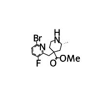 COC(=O)C1(Cc2nc(Br)ccc2F)CCN[C@H](C)C1